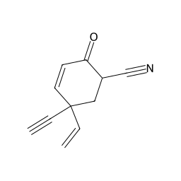 C#CC1(C=C)C=CC(=O)C(C#N)C1